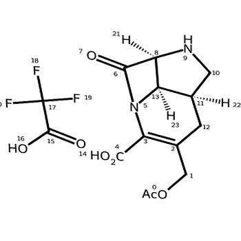 CC(=O)OCC1=C(C(=O)O)N2C(=O)[C@H]3NC[C@@H](C1)[C@H]32.O=C(O)C(F)(F)F